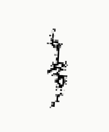 CCCCCc1ccc(CCc2ccc(C#Cc3ccc(CCCC)cc3)cc2)cc1